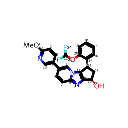 COc1ccc(-c2ccc3nc4c(n3c2)[C@@H](c2ccccc2OC(F)F)C[C@H]4O)cn1